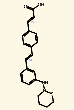 O=C(O)/C=C/c1ccc(/C=C/c2cccc(NN3CCCCS3)c2)cc1